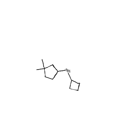 CC1(C)[CH]CC(NC2CCC2)C1